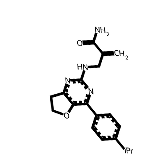 C=C(CNc1nc2c(c(-c3ccc(C(C)C)cc3)n1)OCC2)C(N)=O